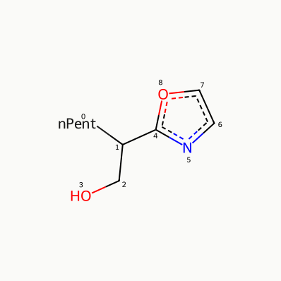 CCCCCC(CO)c1ncco1